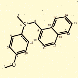 COc1ccc([S+](C)Cc2cccc3ccccc23)cc1